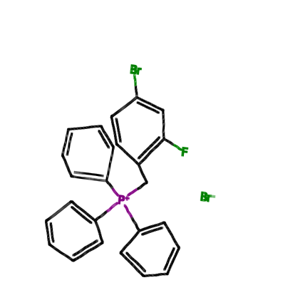 Fc1cc(Br)ccc1C[P+](c1ccccc1)(c1ccccc1)c1ccccc1.[Br-]